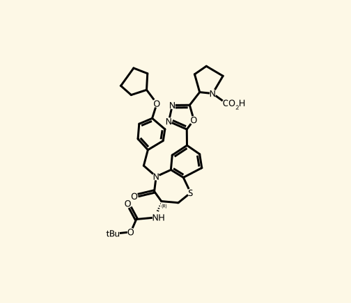 CC(C)(C)OC(=O)N[C@H]1CSc2ccc(-c3nnc(C4CCCN4C(=O)O)o3)cc2N(Cc2ccc(OC3CCCC3)cc2)C1=O